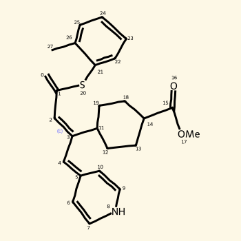 C=C(/C=C(/C=C1C=CNC=C1)C1CCC(C(=O)OC)CC1)Sc1ccccc1C